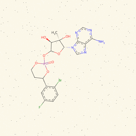 C[C@@]1(O)[C@H](O)C(OP2(=O)OCCC(c3cc(F)ccc3Br)O2)O[C@H]1n1cnc2c(N)ncnc21